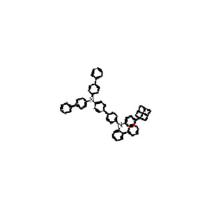 c1ccc(-c2ccc(N(c3ccc(-c4ccccc4)cc3)c3ccc(-c4ccc(N(c5ccc(C67CC8CC9CC(C6)C987)cc5)c5ccccc5-c5ccccc5)cc4)cc3)cc2)cc1